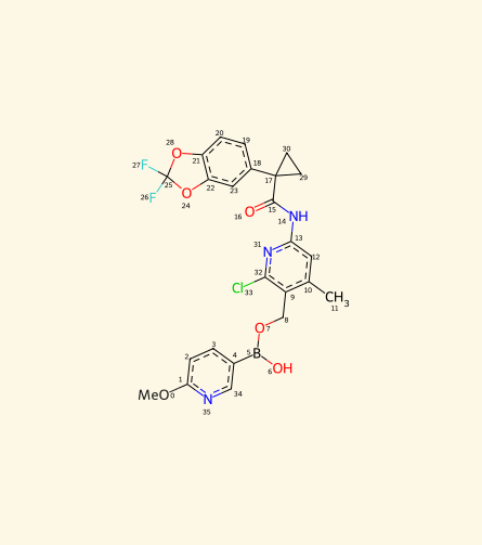 COc1ccc(B(O)OCc2c(C)cc(NC(=O)C3(c4ccc5c(c4)OC(F)(F)O5)CC3)nc2Cl)cn1